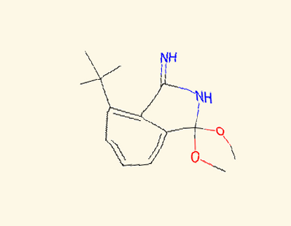 COC1(OC)NC(=N)c2c(C(C)(C)C)cccc21